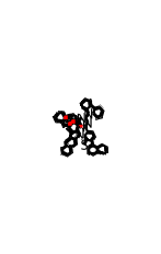 c1ccc2cc(-c3nc(-c4ccc5c(sc6ccc7ccccc7c65)c4-n4c5cc6ccccc6cc5c5cc6ccccc6cc54)nc(-n4c5ccccc5c5ccccc54)n3)ccc2c1